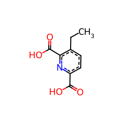 CCc1ccc(C(=O)O)nc1C(=O)O